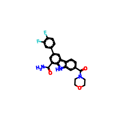 NC(=O)c1cc(-c2ccc(F)c(F)c2)cc2c1[nH]c1cc(C(=O)N3CCOCC3)ccc12